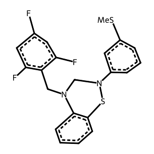 CSc1cccc(N2CN(Cc3c(F)cc(F)cc3F)c3ccccc3S2)c1